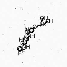 C#CCN(CCO)CCCOc1ccc2c(Nc3cc(CC(=O)Nc4cccc(F)c4F)[nH]n3)ncnc2c1